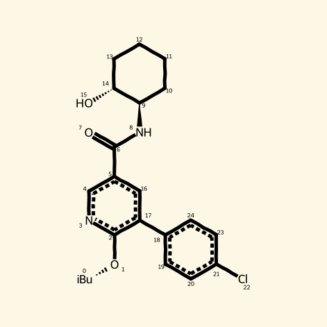 CC[C@@H](C)Oc1ncc(C(=O)N[C@@H]2CCCC[C@H]2O)cc1-c1ccc(Cl)cc1